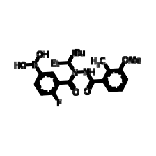 CCC(N(NC(=O)c1cccc(OC)c1C)C(=O)c1cc(B(O)O)ccc1F)C(C)(C)C